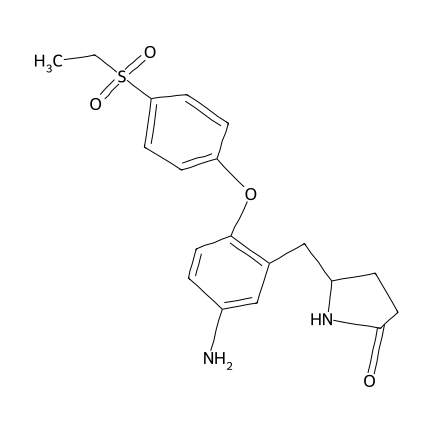 CCS(=O)(=O)c1ccc(Oc2ccc(N)cc2CC2CCC(=O)N2)cc1